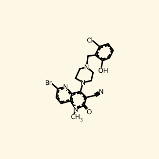 Cn1c(=O)c(C#N)c(N2CCN(Cc3c(O)cccc3Cl)CC2)c2nc(Br)ccc21